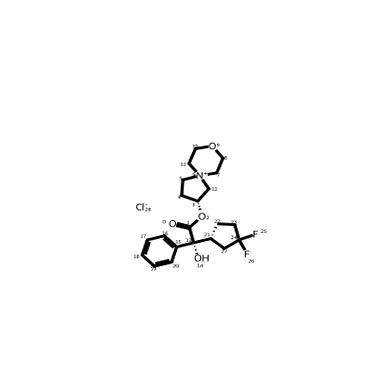 O=C(O[C@@H]1CC[N+]2(CCOCC2)C1)[C@](O)(c1ccccc1)[C@@H]1CCC(F)(F)C1.[Cl-]